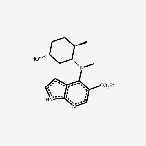 CCOC(=O)c1cnc2[nH]ccc2c1N(C)[C@@H]1C[C@H](O)CC[C@H]1C